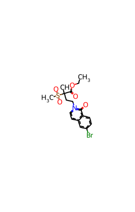 CCOC(=O)C(C)(CCn1ccc2cc(Br)ccc2c1=O)S(C)(=O)=O